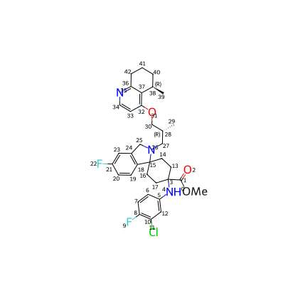 COC(=O)C1(Nc2ccc(F)c(Cl)c2)CCC2(CC1)c1ccc(F)cc1CN2C[C@@H](C)COc1ccnc2c1[C@H](C)CCC2